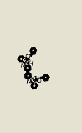 O=C(OCc1ccccc1)N1CCCC[C@H]1c1nc2cc(-c3ccc4nc([C@@H]5CCCCN5C(=O)OCc5ccccc5)[nH]c4c3)ccc2[nH]1